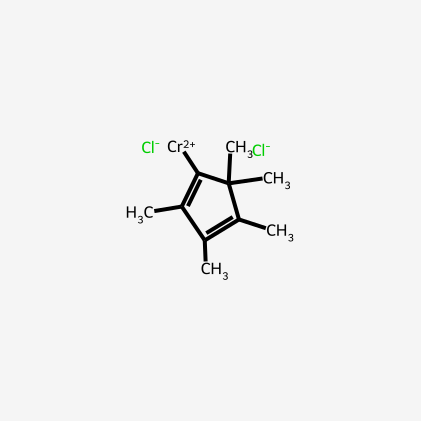 CC1=C(C)C(C)(C)[C]([Cr+2])=C1C.[Cl-].[Cl-]